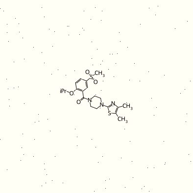 Cc1nc(N2CCN(C(=O)c3cc(S(C)(=O)=O)ccc3OC(C)C)CC2)sc1C